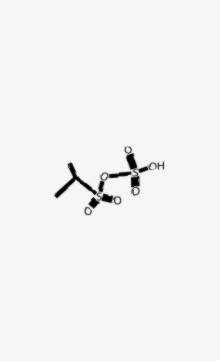 CC(C)S(=O)(=O)OS(=O)(=O)O